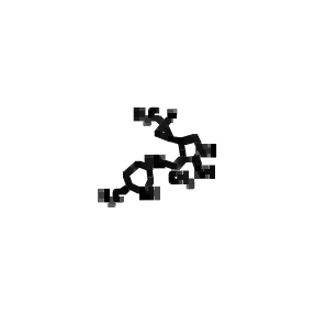 C/C(N[C@@H]1CC[C@H](C)NC1)=C1\C(=N)NC=C1[C@H]1CC1(C)F